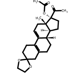 CC(=O)O[C@]1(C(C)=O)CC[C@H]2[C@@H]3CCC4=C(CCC5(C4)OCCO5)C3=CC[C@@]21C